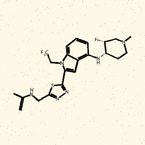 C=C(C)NCc1nnc(-c2cc3c(N[C@H]4CCN(C)C[C@H]4F)cccc3n2CC(F)(F)F)s1